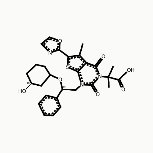 Cc1c(-c2ncco2)sc2c1c(=O)n(C(C)(C)C(=O)O)c(=O)n2C[C@H](OC1CCC[C@@H](O)C1)c1ccccc1